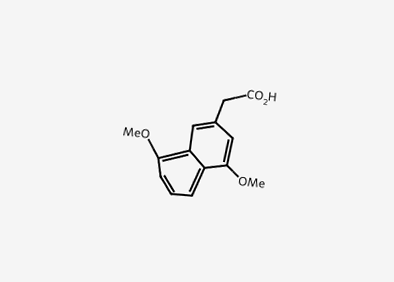 COc1cc(CC(=O)O)cc2c(OC)cccc12